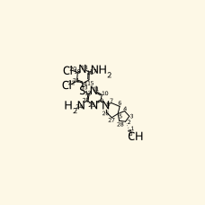 C#C[C@H]1CCC2(CCN(c3cnc(Sc4cc(N)nc(Cl)c4Cl)c(N)n3)CC2)C1